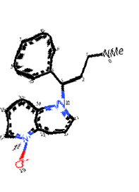 CNCCC(c1ccccc1)n1ccc2c1ccc[n+]2[O-]